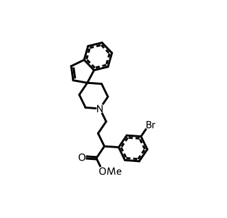 COC(=O)C(CCN1CCC2(C=Cc3ccccc32)CC1)c1cccc(Br)c1